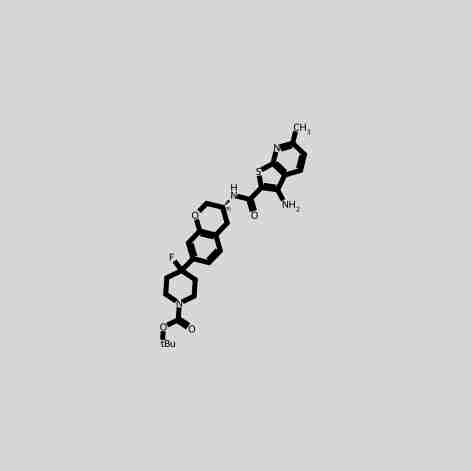 Cc1ccc2c(N)c(C(=O)N[C@H]3COc4cc(C5(F)CCN(C(=O)OC(C)(C)C)CC5)ccc4C3)sc2n1